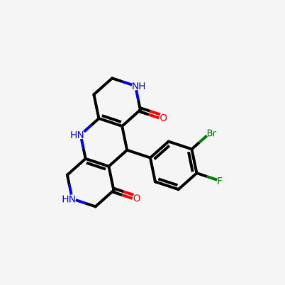 O=C1CNCC2=C1C(c1ccc(F)c(Br)c1)C1=C(CCNC1=O)N2